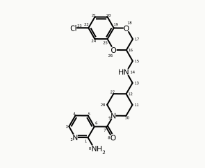 Nc1ncccc1C(=O)N1CCC(CNCC2COc3ccc(Cl)cc3O2)CC1